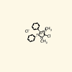 CN1C(Cl)=[N+](C)[C@H](c2ccccc2)[C@H]1c1ccccc1.[Cl-]